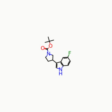 CC(C)(C)OC(=O)N1CCC(c2c[nH]c3ccc(F)cc23)C1